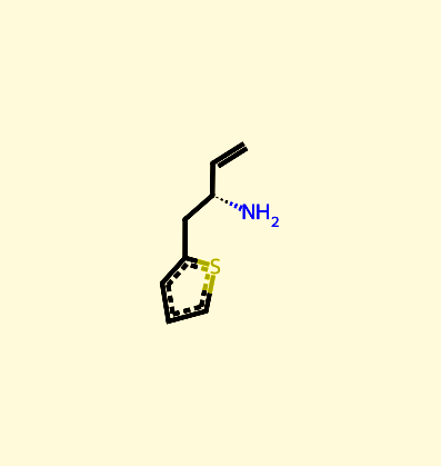 C=C[C@H](N)Cc1cccs1